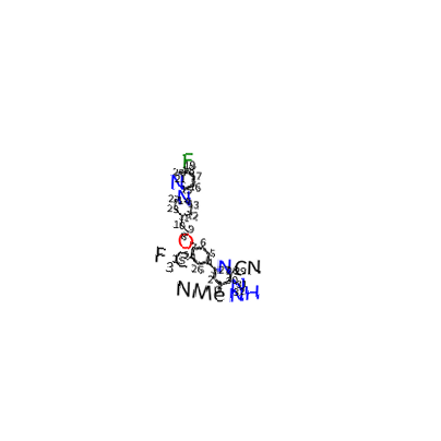 CNc1cc(-c2ccc(OCCC3CCN(c4ccc(F)cn4)CC3)c(C(F)(F)F)c2)nc(C#N)c1N=N